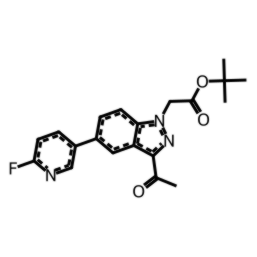 CC(=O)c1nn(CC(=O)OC(C)(C)C)c2ccc(-c3ccc(F)nc3)cc12